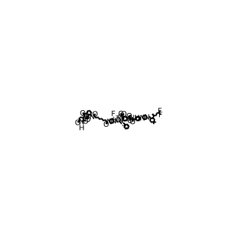 C=C(CCC(F)F)C1=C(CN2CCN(c3ccc(C(=O)NS(=O)(=O)c4ccc(N[C@H](CCN5CCN(C(=O)CCCCCCC(=O)Nc6cccc7c6C(=O)N(C6CCC(=O)NC6=O)C7=O)CC5)CSc5ccccc5)c(S(=O)(=O)C(F)(F)F)c4)cc3)CC2)CCC(C)(C)C1